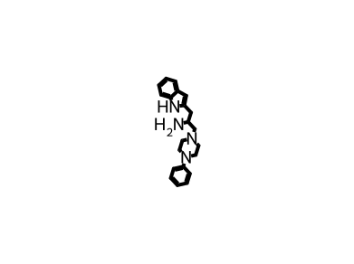 NC(Cc1cc2ccccc2[nH]1)CN1CCN(c2ccccc2)CC1